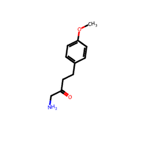 COc1ccc(CCC(=O)CN)cc1